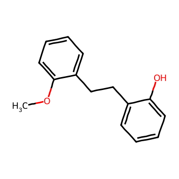 COc1ccccc1CCc1ccccc1O